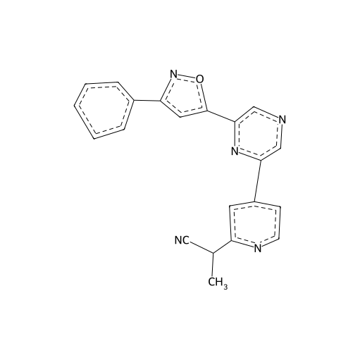 CC(C#N)c1cc(-c2cncc(-c3cc(-c4ccccc4)no3)n2)ccn1